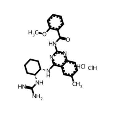 COc1ccccc1C(=O)Nc1nc(N[C@H]2CCCC[C@H]2NC(=N)N)c2cc(C)ccc2n1.Cl.Cl